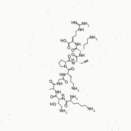 C#CC[C@H](NC(=O)[C@@H]1CCCN1C(=O)[C@@H](CCCN)NC(=O)CNC(=O)C(C)NC(=O)[C@@H](NC(=O)[C@@H](N)CCCCN)[C@@H](O)CN)C(=O)N[C@@H](CCCCN)C(=O)N/C(=C\CCNC(=N)N)C(=O)O